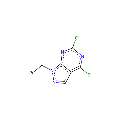 CC(C)Cn1ncc2c(Cl)nc(Cl)nc21